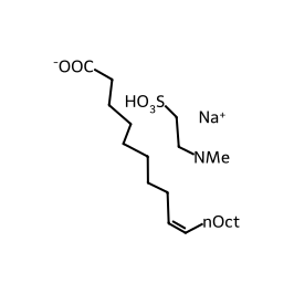 CCCCCCCC/C=C\CCCCCCCC(=O)[O-].CNCCS(=O)(=O)O.[Na+]